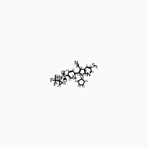 CSc1cnc2c(c1)c(C#N)c(-c1ccc(S(=O)(=O)NC3(C(F)(F)F)CC3)cn1)n2C1CCCC1